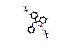 N#CC(F)(F)CNC(=O)NC(Cc1ccccc1)(c1ccc(F)cc1)c1cc(F)cc(OC(F)(F)C(F)F)c1